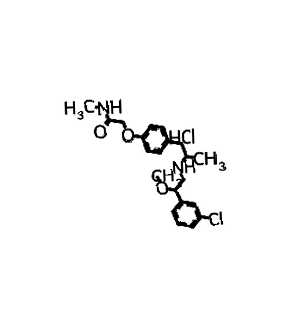 CNC(=O)COc1ccc(CC(C)NCC(OC)c2cccc(Cl)c2)cc1.Cl